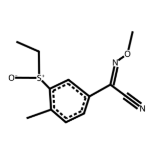 CC[S+]([O-])c1cc(/C(C#N)=N/OC)ccc1C